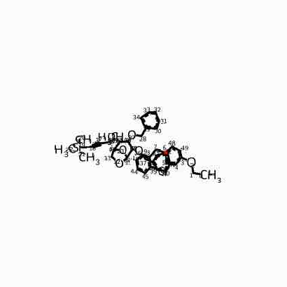 CCOc1ccc(Cc2cc([C@]34OC[C@](C(O)C#C[Si](C)(C)C)(O3)[C@@H](C)[C@H](OCc3ccccc3)[C@H]4OCc3ccccc3)ccc2Cl)cc1